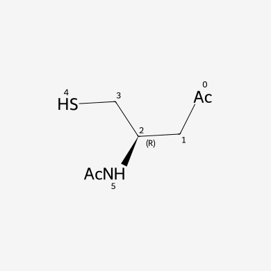 CC(=O)C[C@H](CS)NC(C)=O